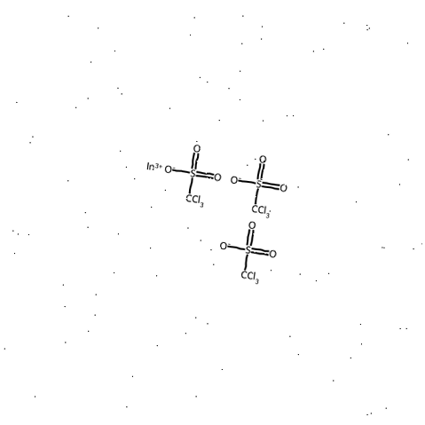 O=S(=O)([O-])C(Cl)(Cl)Cl.O=S(=O)([O-])C(Cl)(Cl)Cl.O=S(=O)([O-])C(Cl)(Cl)Cl.[In+3]